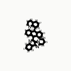 c1cnc2c(-c3c4ccccc4c(-c4nc5ccccc5c5nc6ccccn6c45)c4ccccc34)cccc2c1